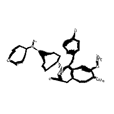 COc1cc2c(cc1OC(C)C)C(c1ccc(Cl)cc1)N([C@H]1CC[C@H](N(C(C)=O)C3CCOCC3)CC1)C(=O)C2